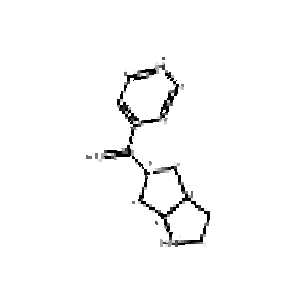 O=C(c1ccncc1)N1CC2CCNC2C1